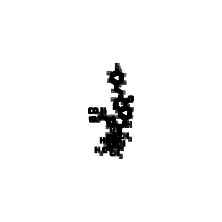 C[C@@H]1[C@@H](/N=C(/Nc2ccc3c(=O)n(CCc4ccc(F)cc4)cnc3c2)N2CC(N(C(=O)O)C(C)(C)C)C2)C[C@H]2C[C@@H]1C2(C)C